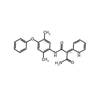 Cc1cc(Oc2ccccc2)c(C)cc1NC(=O)/C(C(N)=O)=C1\C=CC=CN1